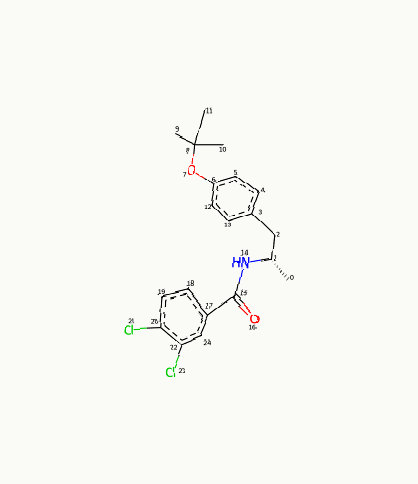 C[C@@H](Cc1ccc(OC(C)(C)C)cc1)NC(=O)c1ccc(Cl)c(Cl)c1